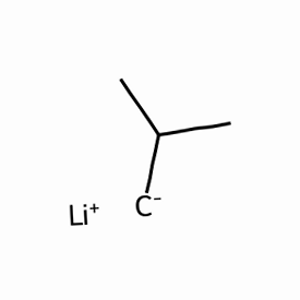 [CH2-]C(C)C.[Li+]